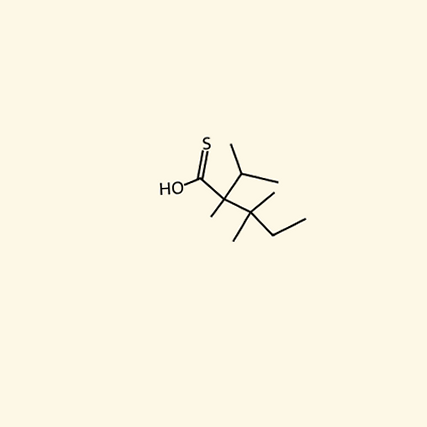 CCC(C)(C)C(C)(C(O)=S)C(C)C